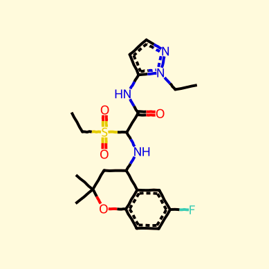 CCn1nccc1NC(=O)C(NC1CC(C)(C)Oc2ccc(F)cc21)S(=O)(=O)CC